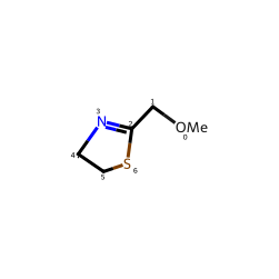 COCC1=N[CH]CS1